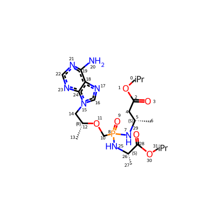 CC(C)OC(=O)C[C@H](C)NP(=O)(CO[C@H](C)Cn1cnc2c(N)ncnc21)N[C@@H](C)C(=O)OC(C)C